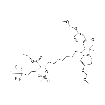 CCOC(=O)C(CCCC(F)(F)C(F)(F)F)C(CCCCCCCCC1c2ccc(OCOC)cc2OCC1(C)c1ccc(OCOC)cc1)OS(C)(=O)=O